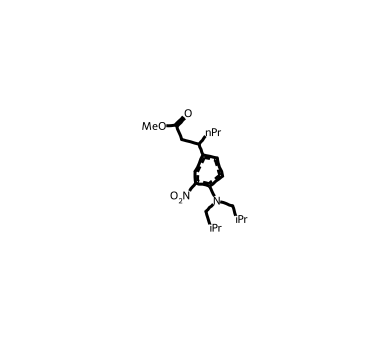 CCCC(CC(=O)OC)c1ccc(N(CC(C)C)CC(C)C)c([N+](=O)[O-])c1